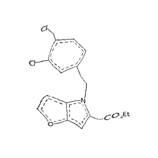 CCOC(=O)c1cc2occc2n1Cc1ccc(Cl)c(Cl)c1